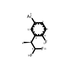 CC(=O)c1ccc(F)c([C@H](C)C(F)F)c1